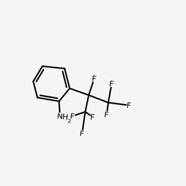 Nc1ccccc1C(F)(C(F)(F)F)C(F)(F)F